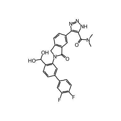 CN(C)C(=O)c1[nH]nnc1-c1ccc2c(c1)C(=O)N(c1cc(-c3ccc(F)c(F)c3)ccc1C(O)O)C2